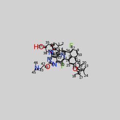 CC(C)[Si](C#Cc1c(F)ccc2cc(O[Si](C(C)C)(C(C)C)C(C)C)cc(-c3ncc4c(N5CCCC(O)C5)nc(OCCN(C)C)nc4c3F)c12)(C(C)C)C(C)C